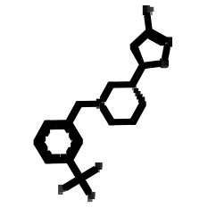 FC(F)(F)c1cccc(CN2CCC[C@@H]([C@H]3CC(Br)=NO3)C2)c1